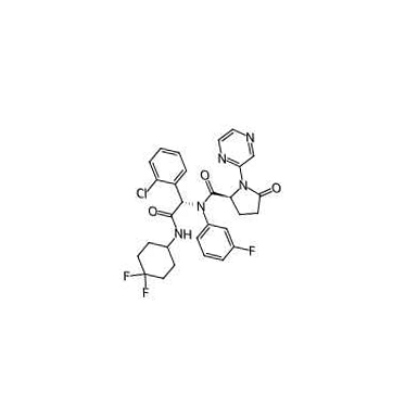 O=C(NC1CCC(F)(F)CC1)[C@H](c1ccccc1Cl)N(C(=O)[C@@H]1CCC(=O)N1c1cnccn1)c1cccc(F)c1